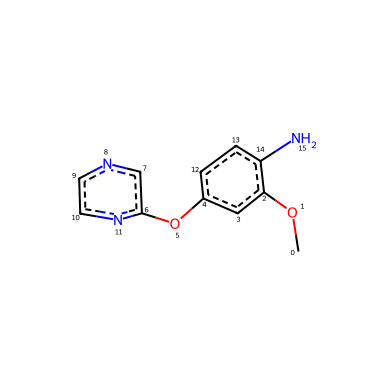 COc1cc(Oc2cnccn2)ccc1N